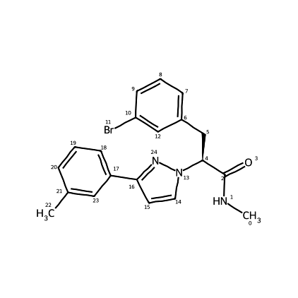 CNC(=O)[C@H](Cc1cccc(Br)c1)n1ccc(-c2cccc(C)c2)n1